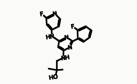 CC(C)(O)CNc1cc(Nc2ccnc(F)c2)nc(-c2ccccc2F)n1